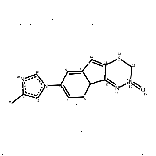 Cc1cn(C2=CCC3C(=C2)C=C2SC[N+](=O)N=C23)cn1